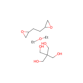 C(CC1CO1)C1CO1.CCOCC.OCC(CO)(CO)CO